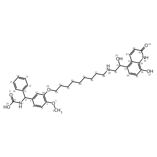 COc1ccc(C(NC(=O)O)c2ccccc2)cc1OCCCCCCCCCNCC(O)c1ccc(O)c2[nH]c(=O)ccc12